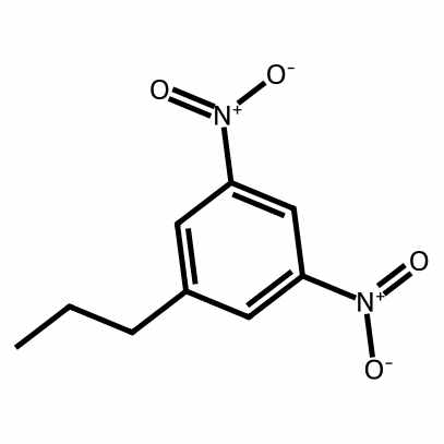 CCCc1cc([N+](=O)[O-])cc([N+](=O)[O-])c1